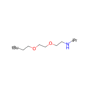 CC(C)NCCOCCOCCC(C)(C)C